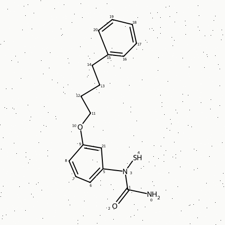 NC(=O)N(S)c1cccc(OCCCCc2ccccc2)c1